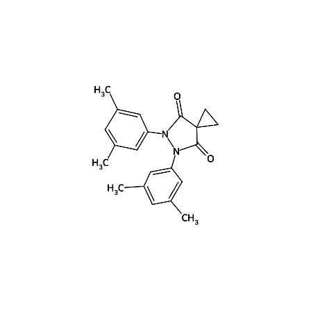 Cc1cc(C)cc(N2C(=O)C3(CC3)C(=O)N2c2cc(C)cc(C)c2)c1